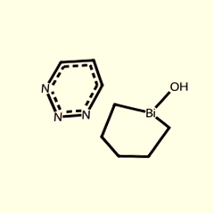 [OH][Bi]1[CH2]CCC[CH2]1.c1cnnnc1